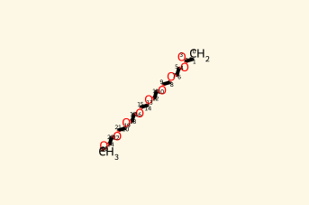 C=CC(=O)OCCOCCOCCOCCOCCOCCOCCOC